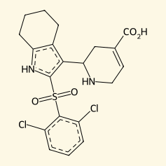 O=C(O)C1=CCNC(c2c(S(=O)(=O)c3c(Cl)cccc3Cl)[nH]c3c2CCCC3)C1